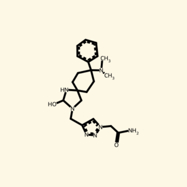 CN(C)C1(c2ccccc2)CCC2(CC1)CN(Cc1cn(CC(N)=O)nn1)C(O)N2